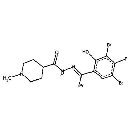 CC(C)/C(=N\NC(=O)C1CCN(C)CC1)c1cc(Br)c(F)c(Br)c1O